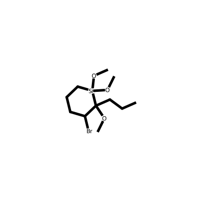 CCCC1(OC)C(Br)CCC[Si]1(OC)OC